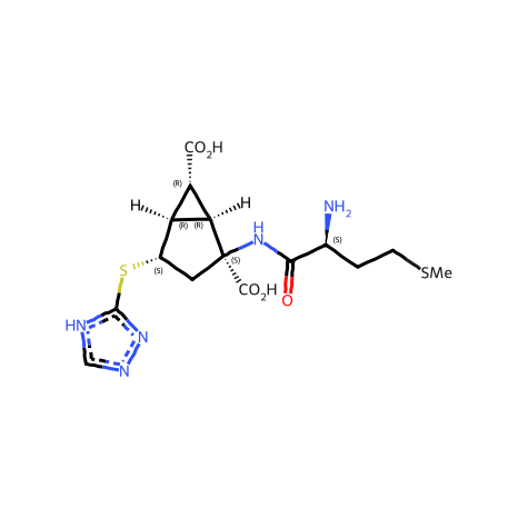 CSCC[C@H](N)C(=O)N[C@@]1(C(=O)O)C[C@H](Sc2nnc[nH]2)[C@H]2[C@H](C(=O)O)[C@H]21